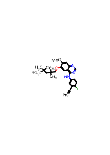 C#Cc1cc(Nc2ncnc3cc(OC)c(OCC(C)(C)CC(C)(C)C(=O)O)cc23)ccc1F